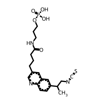 CC(CN=C=S)c1ccc2ncc(CCCC(=O)NCCCOP(=O)(O)O)cc2c1